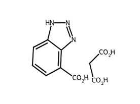 O=C(O)CC(=O)O.O=C(O)c1cccc2[nH]nnc12